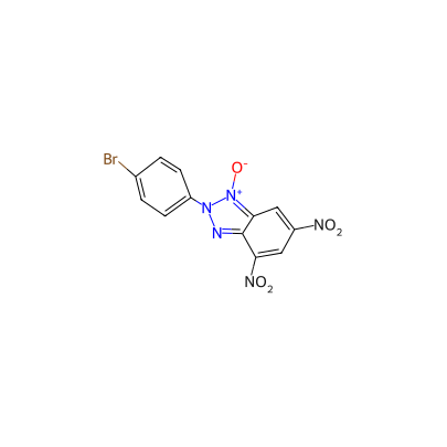 O=[N+]([O-])c1cc([N+](=O)[O-])c2nn(-c3ccc(Br)cc3)[n+]([O-])c2c1